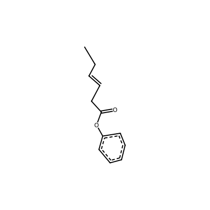 CCC=CCC(=O)Oc1ccccc1